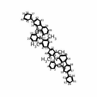 Cc1ccccc1N(c1c(C)cc(-c2cc(C)c(N(c3ccccc3C)c3cccc4c3sc3cc(-c5ccccc5)ccc34)c(C)c2)cc1C)c1cccc2c1sc1cc(-c3ccccc3)ccc12